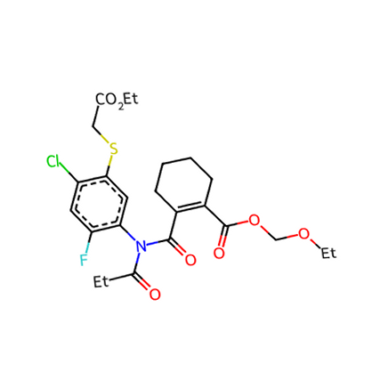 CCOCOC(=O)C1=C(C(=O)N(C(=O)CC)c2cc(SCC(=O)OCC)c(Cl)cc2F)CCCC1